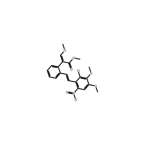 COC=C(C(=O)OC)c1ccccc1C=Cc1c([N+](=O)[O-])cc(OC)c(OC)c1Cl